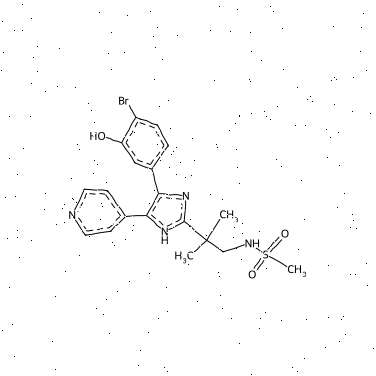 CC(C)(CNS(C)(=O)=O)c1nc(-c2ccc(Br)c(O)c2)c(-c2ccncc2)[nH]1